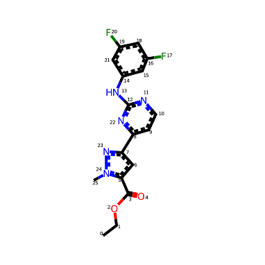 CCOC(=O)c1cc(-c2ccnc(Nc3cc(F)cc(F)c3)n2)nn1C